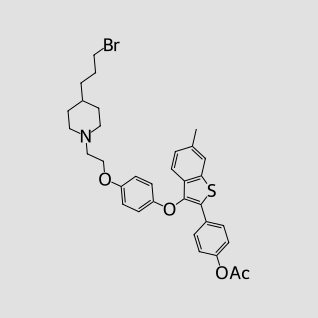 CC(=O)Oc1ccc(-c2sc3cc(C)ccc3c2Oc2ccc(OCCN3CCC(CCCBr)CC3)cc2)cc1